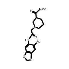 CNC(=O)C1CCCN(CC(=O)Nc2cc3c(cc2C(C)=O)OCO3)C1